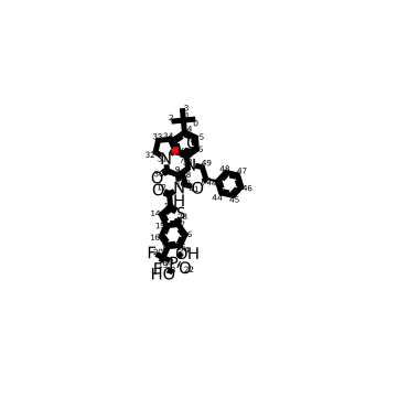 CC(C)(C)c1ccc(CC(NC(=O)c2cc3cc(C(F)(F)P(=O)(O)O)ccc3s2)C(=O)N2CCC[C@H]2C(=O)N2CCO[C@H](c3ccccc3)C2)cc1